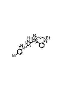 CCN(CC)CCCS(=O)(=O)N[C@H](CCc1ccccc1)c1nc(Cn2ncc3cc(Br)ccc32)n[nH]1